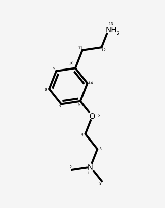 CN(C)CCOc1cccc(CCN)c1